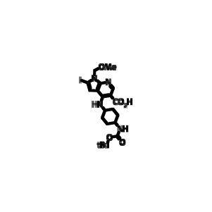 COCn1c(I)cc2c(NC3CCC(NC(=O)OC(C)(C)C)CC3)c(C(=O)O)cnc21